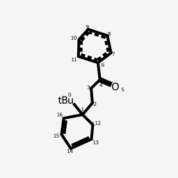 CC(C)(C)C1(CCC(=O)c2ccccc2)[CH]C=CC=C1